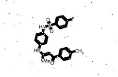 CS/C(=C\C(=O)c1ccc(C)cc1)Nc1ccc(NS(=O)(=O)c2ccc(F)cc2)cc1